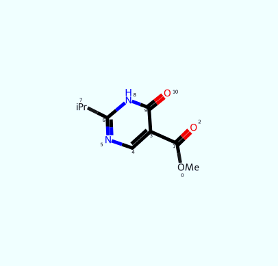 COC(=O)c1cnc(C(C)C)[nH]c1=O